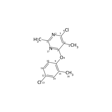 Cc1nc(Cl)c(C)c(Oc2ccc(Cl)cc2C)n1